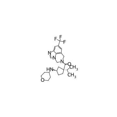 CC(C)[C@]1(C(=O)N2Cc3cc(C(F)(F)F)cc4ncn(c34)C2)CC[C@@H](NC2CCOCC2)C1